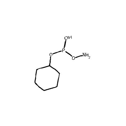 NOP(O)OC1CCCCC1